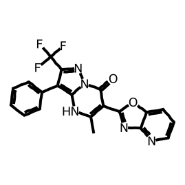 Cc1[nH]c2c(-c3ccccc3)c(C(F)(F)F)nn2c(=O)c1-c1nc2ncccc2o1